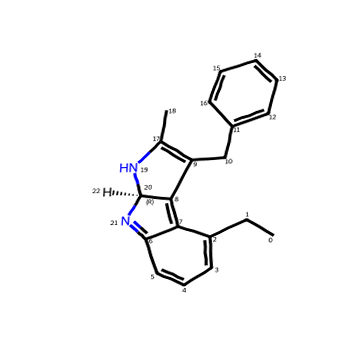 CCc1cccc2c1=C1C(Cc3ccccc3)=C(C)N[C@@H]1N=2